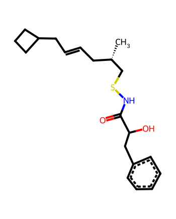 C[C@@H](C/C=C/CC1CCC1)CSNC(=O)C(O)Cc1ccccc1